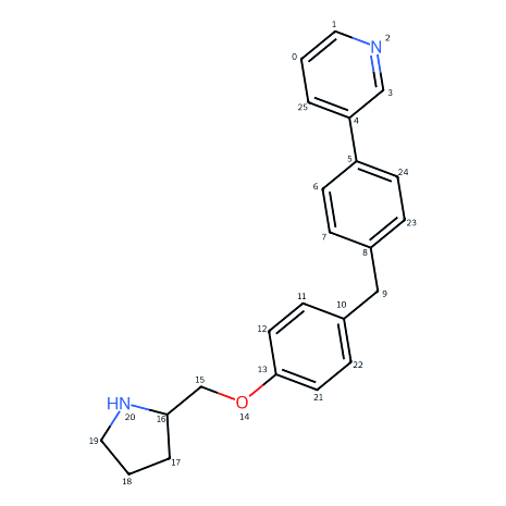 c1cncc(-c2ccc(Cc3ccc(OCC4CCCN4)cc3)cc2)c1